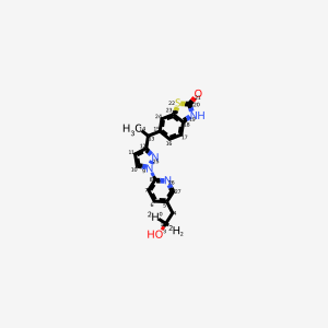 [2H]C([2H])(O)Cc1ccc(-n2ccc(C(C)c3ccc4[nH]c(=O)sc4c3)n2)nc1